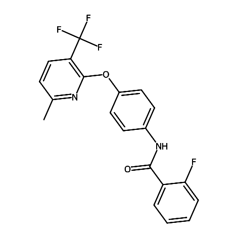 Cc1ccc(C(F)(F)F)c(Oc2ccc(NC(=O)c3ccccc3F)cc2)n1